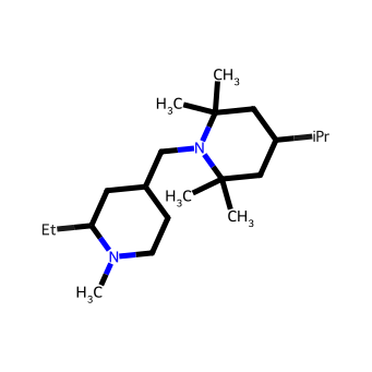 CCC1CC(CN2C(C)(C)CC(C(C)C)CC2(C)C)CCN1C